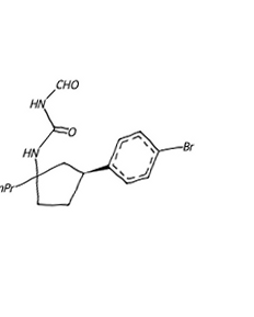 CCCC1(NC(=O)NC=O)CC[C@H](c2ccc(Br)cc2)C1